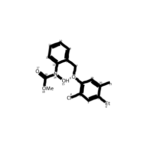 CCc1cc(Cl)c(OCc2ccccc2N(O)C(=O)OC)cc1C